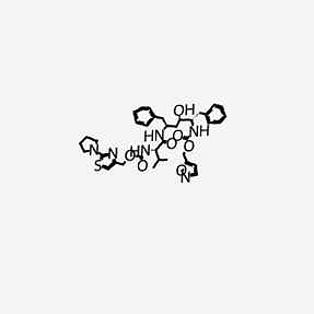 CC(C)[C@H](NC(=O)OCc1csc(N2CCCC2)n1)C(=O)N[C@@H](Cc1ccccc1)C[C@H](O)[C@H](Cc1ccccc1)NC(=O)OCc1ccno1